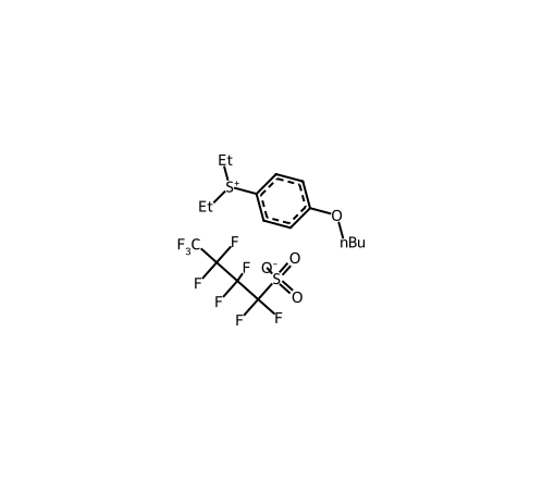 CCCCOc1ccc([S+](CC)CC)cc1.O=S(=O)([O-])C(F)(F)C(F)(F)C(F)(F)C(F)(F)F